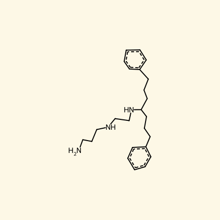 NCCCNCCNC(CCCc1ccccc1)CCCc1ccccc1